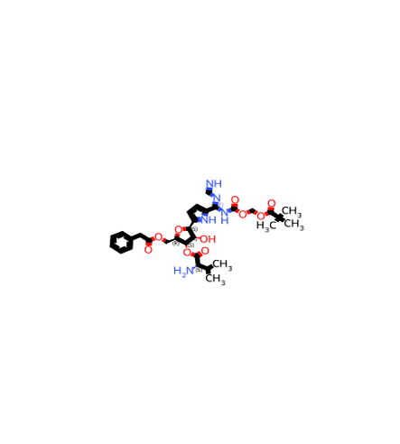 CC(C)[C@H](N)C(=O)O[C@H]1[C@@H](O)[C@H](c2ccc(/C(=N\C=N)NC(=O)OCOC(=O)C(C)(C)C)[nH]2)O[C@@H]1COC(=O)Cc1ccccc1